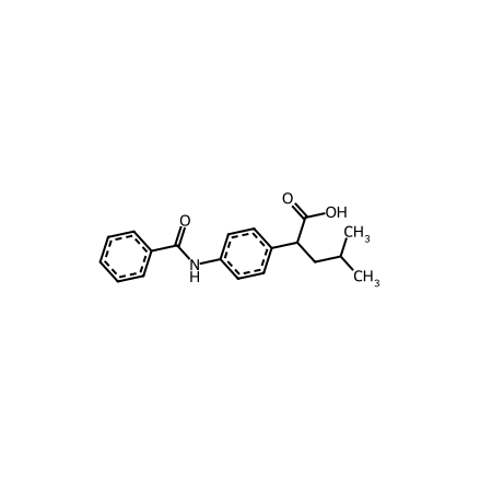 CC(C)CC(C(=O)O)c1ccc(NC(=O)c2ccccc2)cc1